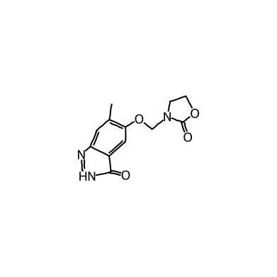 Cc1cc2nc[nH]c(=O)c2cc1OCN1CCOC1=O